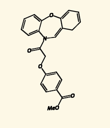 COC(=O)c1ccc(OCC(=O)N2C=C3CC=CC=C3Oc3ccccc32)cc1